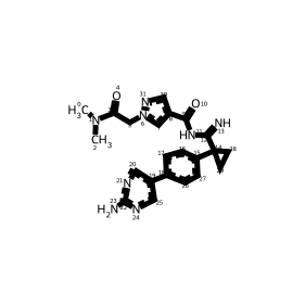 CN(C)C(=O)Cn1cc(C(=O)NC(=N)C2(c3ccc(-c4cnc(N)nc4)cc3)CC2)cn1